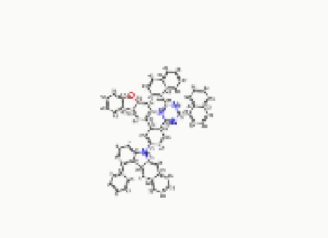 c1ccc(-c2cccc3c2c2cc4ccccc4cc2n3-c2ccc(-c3nc(-c4cccc5ccccc45)nc(-c4cccc5ccccc45)n3)c(-c3ccc4oc5ccccc5c4c3)c2)cc1